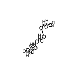 O=C1CCC(N2C(=O)c3cccc(N[C@H]4CC[C@@H](NC(=O)c5cccc(C#Cc6cc(NC(=O)Nc7ccnc(Cl)c7)ccn6)c5)CC4)c3C2=O)C(=O)N1